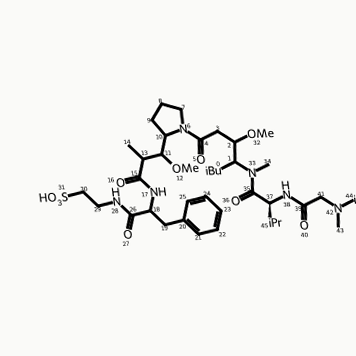 CCC(C)C(C(CC(=O)N1CCCC1C(OC)C(C)C(=O)NC(Cc1ccccc1)C(=O)NCCS(=O)(=O)O)OC)N(C)C(=O)[C@@H](NC(=O)CN(C)C(C)C)C(C)C